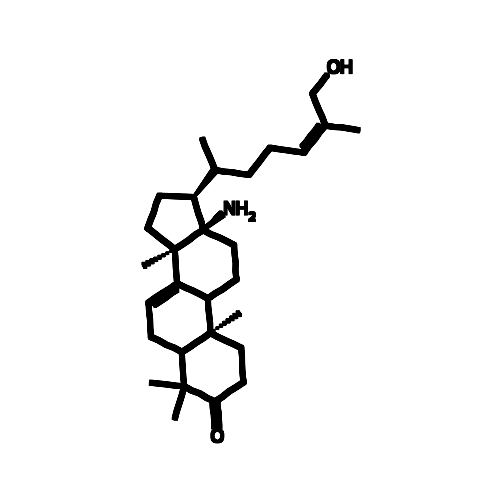 C/C(=C/CCC(C)[C@@H]1CC[C@]2(C)C3=CCC4C(C)(C)C(=O)CC[C@]4(C)C3CC[C@@]12N)CO